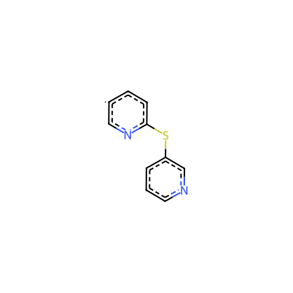 [c]1ccc(Sc2cccnc2)nc1